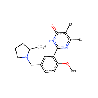 CCCOc1ccc(CN2CCCC2C(=O)O)cc1-c1nc(CC)c(CC)c(=O)[nH]1